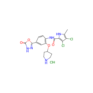 Cc1[nH]c(C(=O)Nc2ccc(-c3n[nH]c(=O)o3)cc2OC2CCNCC2)c(Cl)c1Cl.Cl